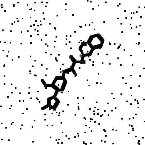 COc1cc(C=C(F)C(=O)N[C@@H](CO)Cc2ccccc2)ccc1-n1cnc(C)c1